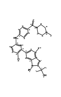 CC(C)n1c(C(C)(C)O)nc2c(F)cc(-c3nc(Nc4ccc(C(=O)N5CCN(C)CC5)cc4)ncc3Cl)cc21